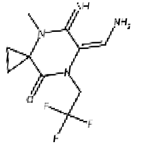 CN1C(=N)/C(=C\N)N(CC(F)(F)F)C(=O)C12CC2